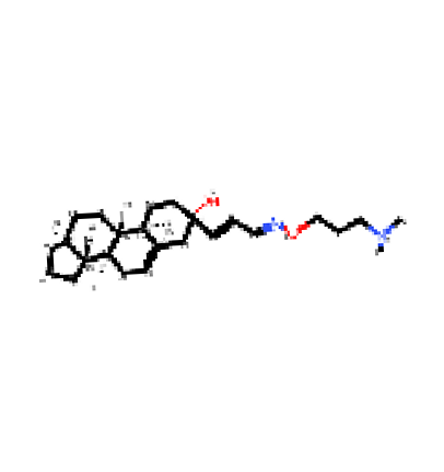 CN(C)CCCON=CC=C[C@]1(O)CC[C@@]2(C)C(=CC[C@H]3[C@@H]4CCC[C@@]4(C)CC[C@@H]32)C1